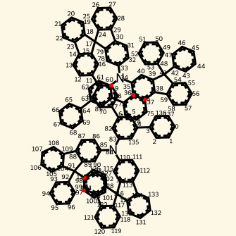 c1ccc(-c2cc(-c3ccc(-c4ccc5c(c4)C4(c6ccccc6-5)c5ccccc5-c5ccc(N(c6ccc7c(c6)C(c6ccccc6)(c6ccccc6)c6ccccc6-7)c6ccc(-c7ccccc7)cc6-c6ccccc6)cc54)cc3)cc(N(c3ccc4c(c3)C(c3ccccc3)(c3ccccc3)c3ccccc3-4)c3ccc4c(c3)C3(c5ccccc5-c5ccccc53)c3ccccc3-4)c2)cc1